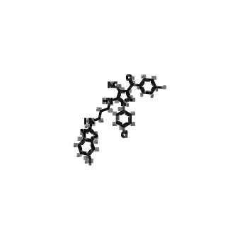 Cc1ccc(C(=O)c2nn(-c3ccc(Cl)cc3)c(NCCCNc3nc4ccc(F)cc4s3)c2C#N)cc1